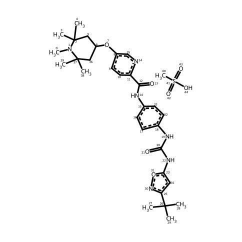 CN1C(C)(C)CC(Oc2ccc(C(=O)Nc3ccc(NC(=O)Nc4cc(C(C)(C)C)no4)cc3)nc2)CC1(C)C.CS(=O)(=O)O